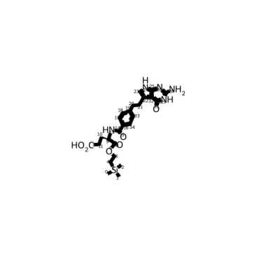 C[Si](C)(C)CCOC(=O)[C@@H](CCC(=O)O)NC(=O)c1ccc(CCc2c[nH]c3nc(N)[nH]c(=O)c23)cc1